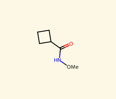 CONC(=O)C1CCC1